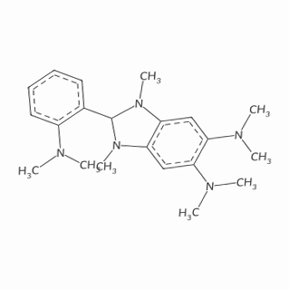 CN(C)c1ccccc1C1N(C)c2cc(N(C)C)c(N(C)C)cc2N1C